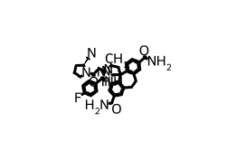 C[C@@H](CC1(c2nnc(-c3ccc(F)cc3)[nH]2)c2ccc(C(N)=O)cc2CCc2cc(C(N)=O)ccc21)NCC(=O)N1CCC[C@H]1C#N